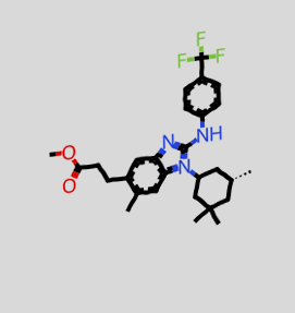 COC(=O)CCc1cc2nc(Nc3ccc(C(F)(F)F)cc3)n(C3C[C@H](C)CC(C)(C)C3)c2cc1C